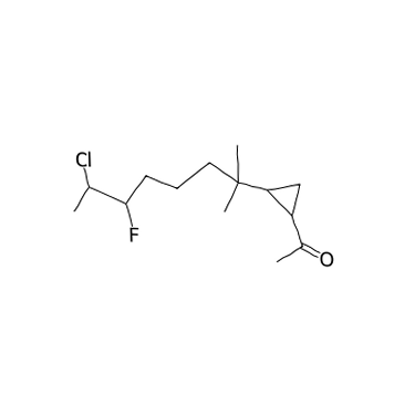 CC(=O)C1CC1C(C)(C)CCCC(F)C(C)Cl